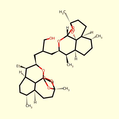 CC[C@H]1[C@@H](CC(CO)C[C@H]2O[C@@H]3O[C@]4(C)CC[C@H]5[C@H](C)CC[C@@H]([C@H]2C)[C@@]35OO4)O[C@@H]2O[C@]3(C)CC[C@H]4[C@H](C)CC[C@@H]1[C@@]24OO3